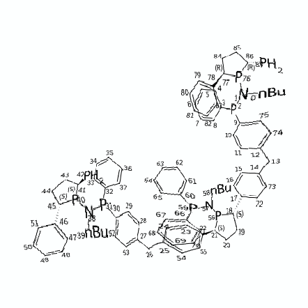 CCCCN(P(c1ccccc1)c1ccc(Cc2ccc([C@@H]3CC[C@@H](c4ccc(Cc5ccc(P(c6ccccc6)N(CCCC)P6[C@H](P)CC[C@H]6c6ccccc6)cc5)cc4)P3N(CCCC)P(c3ccccc3)c3ccccc3)cc2)cc1)P1[C@@H](c2ccccc2)CC[C@@H]1P